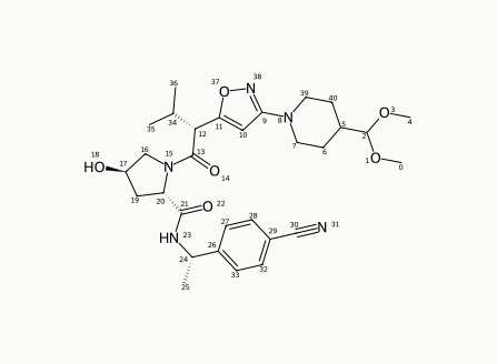 COC(OC)C1CCN(c2cc([C@H](C(=O)N3C[C@H](O)C[C@H]3C(=O)N[C@@H](C)c3ccc(C#N)cc3)C(C)C)on2)CC1